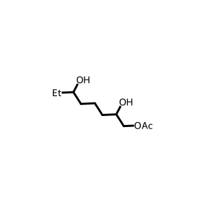 CCC(O)CCCC(O)COC(C)=O